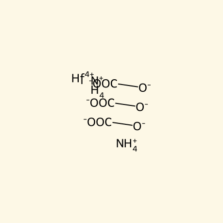 O=C([O-])[O-].O=C([O-])[O-].O=C([O-])[O-].[Hf+4].[NH4+].[NH4+]